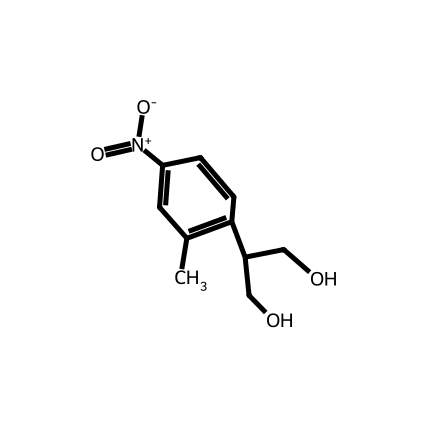 Cc1cc([N+](=O)[O-])ccc1C(CO)CO